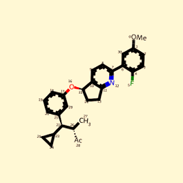 COc1ccc(F)c(-c2ccc3c(n2)CC[C@H]3Oc2cccc([C@H](C3CC3)[C@H](C)C(C)=O)c2)c1